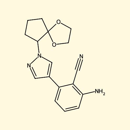 N#Cc1c(N)cccc1-c1cnn(C2CCCC23OCCO3)c1